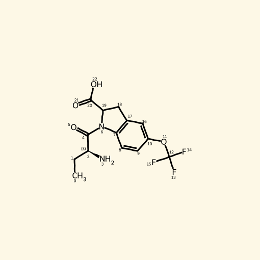 CC[C@H](N)C(=O)N1c2ccc(OC(F)(F)F)cc2CC1C(=O)O